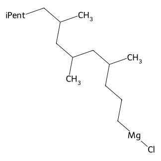 CCCC(C)CC(C)CC(C)CC(C)CC[CH2][Mg][Cl]